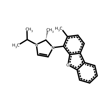 Cc1ccc2c(oc3ccccc32)c1N1C=CN(C(C)C)[C@@H]1C